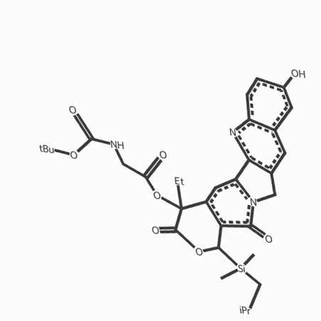 CCC1(OC(=O)CNC(=O)OC(C)(C)C)C(=O)OC([Si](C)(C)CC(C)C)c2c1cc1n(c2=O)Cc2cc3cc(O)ccc3nc2-1